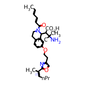 CC=CC=CC(=O)N1CCc2ccc(OCCc3coc(/C(C)=C\CCC)n3)cc2C1C(C(=O)O)C(C)(C)N